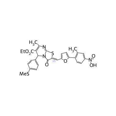 CCOC(=O)C1=C(C)N=c2s/c(=C\c3ccc(-c4ccc([N+](=O)O)cc4C)o3)c(=O)n2C1c1ccc(SC)cc1